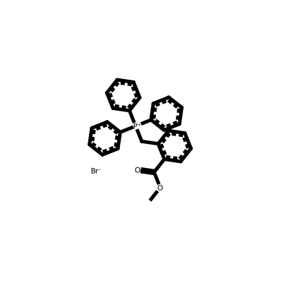 COC(=O)c1ccccc1C[P+](c1ccccc1)(c1ccccc1)c1ccccc1.[Br-]